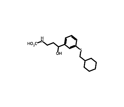 O=C(O)NCCC(O)c1cccc(SCC2CCCCC2)c1